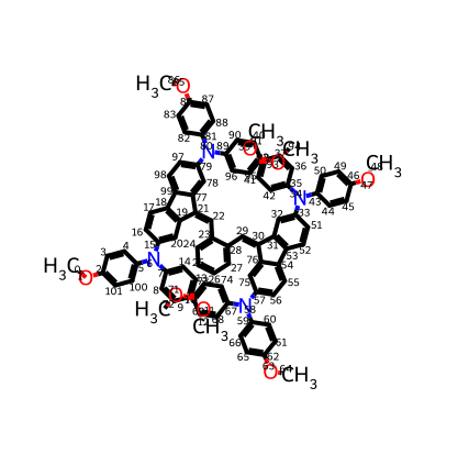 COc1ccc(N(c2ccc(OC)cc2)c2ccc3c(c2)C(=Cc2ccccc2C=C2c4cc(N(c5ccc(OC)cc5)c5ccc(OC)cc5)ccc4-c4ccc(N(c5ccc(OC)cc5)c5ccc(OC)cc5)cc42)c2cc(N(c4ccc(OC)cc4)c4ccc(OC)cc4)ccc2-3)cc1